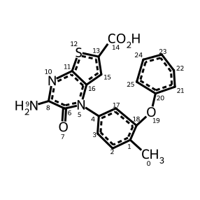 Cc1ccc(-n2c(=O)c(N)nc3sc(C(=O)O)cc32)cc1Oc1ccccc1